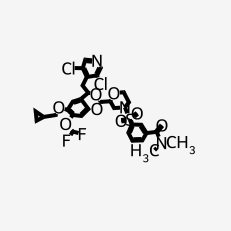 CN(C)C(=O)c1cccc(S(=O)(=O)N2CCOC(C(=O)OC(Cc3c(Cl)cncc3Cl)c3ccc(OC(F)F)c(OCC4CC4)c3)C2)c1